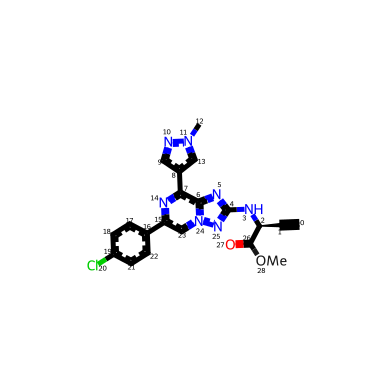 C#C[C@H](Nc1nc2c(-c3cnn(C)c3)nc(-c3ccc(Cl)cc3)cn2n1)C(=O)OC